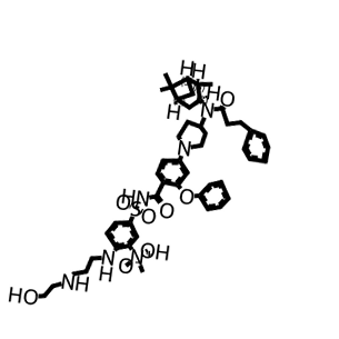 C[C@@H]1[C@@H](N(C(=O)CCc2ccccc2)C2CCN(c3ccc(C(=O)NS(=O)(=O)c4ccc(NCCCNCCO)c([N+](C)([O-])O)c4)c(Oc4ccccc4)c3)CC2)C[C@H]2C[C@@H]1C2(C)C